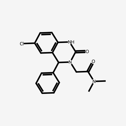 CN(C)C(=O)CN1C(=O)Nc2ccc(Cl)cc2C1c1ccccc1